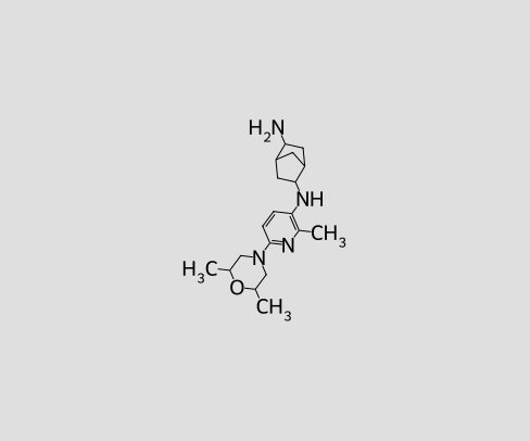 Cc1nc(N2CC(C)OC(C)C2)ccc1NC1CC2CC1CC2N